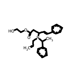 C=CCN(C(C=Cc1ccccc1)CC(=O)OCCO)C(C)c1ccccc1